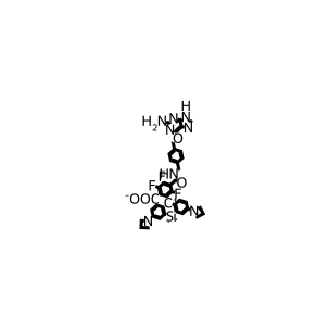 C[Si]1(C)c2cc(N3CCC3)ccc2[C+](c2c(F)c(C(=O)NCc3ccc(COc4nc(N)nc5[nH]cnc45)cc3)c(F)c(F)c2C(=O)[O-])c2ccc(N3CCC3)cc21